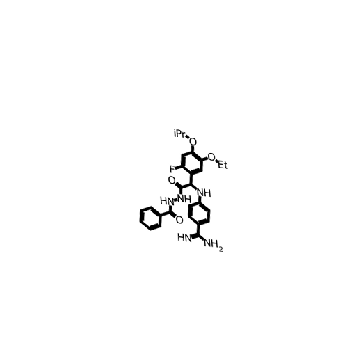 CCOc1cc(C(Nc2ccc(C(=N)N)cc2)C(=O)NNC(=O)c2ccccc2)c(F)cc1OC(C)C